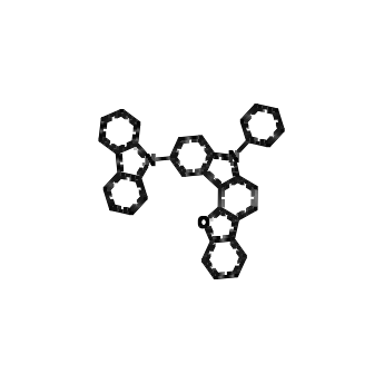 c1ccc(-n2c3ccc(-n4c5ccccc5c5ccccc54)cc3c3c4oc5ccccc5c4ccc32)cc1